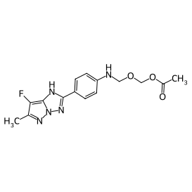 CC(=O)OCOCNc1ccc(-c2nn3nc(C)c(F)c3[nH]2)cc1